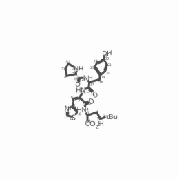 CC(C)(C)CCC(NC(=O)C(Cc1cscn1)NC(=O)C(Cc1ccc(O)cc1)NC(=O)[C@@H]1CCCN1)C(=O)O